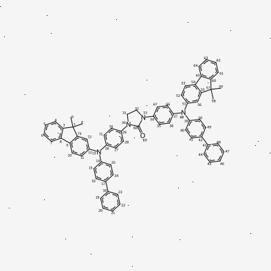 CC1(C)c2ccccc2-c2ccc(N(c3ccc(-c4ccccc4)cc3)c3ccc(N4CCN(c5ccc(N(c6ccc(-c7ccccc7)cc6)c6ccc7c(c6)C(C)(C)c6ccccc6-7)cc5)C4=O)cc3)cc21